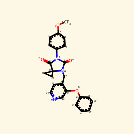 O=C1N(c2ccc(OC(F)(F)F)cc2)C(=O)C2(CC2)N1Cc1ccncc1Oc1ccccc1